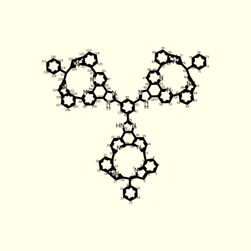 C1=c2cccc3c2=N/C1=C(/c1ccccc1)c1cc2cccc(c2[nH]1)-c1ccc2c(n1)-c1nc-3ccc1C1N=C(c3cc(C4=NC5c6ccc7nc6-c6nc(ccc6C5N4)-c4cccc5cc([nH]c45)C(c4ccccc4)c4cc5cccc-7c5[nH]4)cc(C4=NC5c6ccc7nc6-c6nc(ccc6C5N4)-c4cccc5cc([nH]c45)C(c4ccccc4)c4cc5cccc-7c5[nH]4)c3)NC21